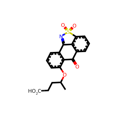 CC(CCC(=O)O)Oc1cccc2c1C(=O)c1cccc3c1C2=NS3(=O)=O